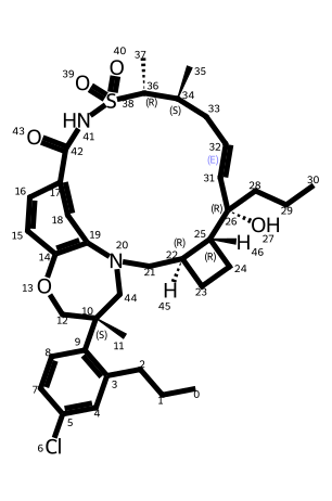 CCCc1cc(Cl)ccc1[C@]1(C)COc2ccc3cc2N(C[C@@H]2CC[C@H]2[C@](O)(CCC)/C=C/C[C@H](C)[C@@H](C)S(=O)(=O)NC3=O)C1